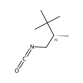 C[C@H](CN=C=O)C(C)(C)C